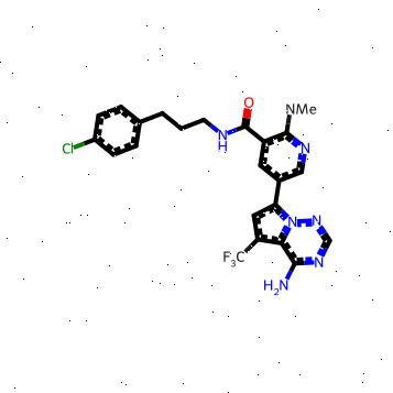 CNc1ncc(-c2cc(C(F)(F)F)c3c(N)ncnn23)cc1C(=O)NCCCc1ccc(Cl)cc1